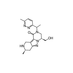 Cc1ccc(C(C)N2C[C@@H](CO)n3nc4c(c3C2=O)CN[C@H](C)C4)nn1